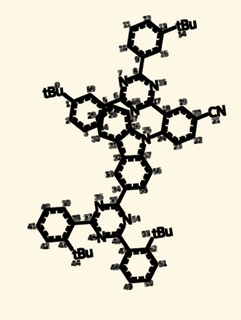 CC(C)(C)c1cccc(-c2nc(-c3cccc(C(C)(C)C)c3)nc(-c3cc(C#N)ccc3-n3c4ccccc4c4cc(-c5nc(-c6ccccc6C(C)(C)C)nc(-c6ccccc6C(C)(C)C)n5)ccc43)n2)c1